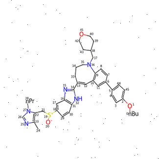 CCCCOc1ccc(-c2ccc3c(c2)/C=C(/c2nc4cc([S+]([O-])Cc5c(C)ncn5CCC)ccc4[nH]2)CCCN3CC2CCOCC2)cc1